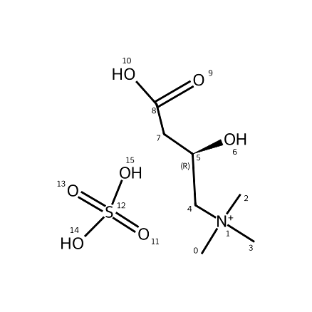 C[N+](C)(C)C[C@H](O)CC(=O)O.O=S(=O)(O)O